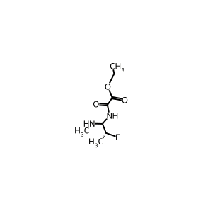 CCOC(=O)C(=O)NC(NC)[C@@H](C)F